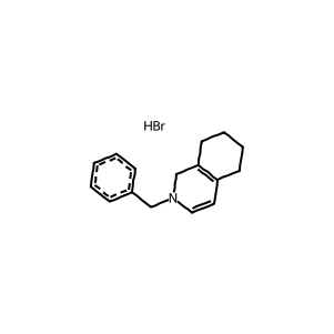 Br.C1=CN(Cc2ccccc2)CC2=C1CCCC2